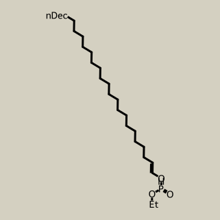 CCCCCCCCCCCCCCCCCCCCCCCCCCCCC=CO[PH](=O)OCC